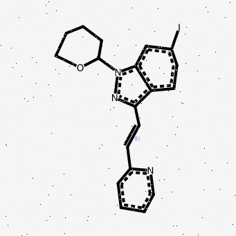 Ic1ccc2c(/C=C/c3ccccn3)nn(C3CCCCO3)c2c1